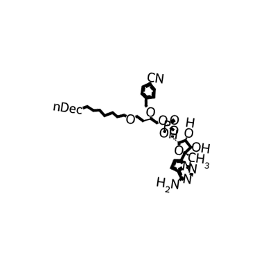 CCCCCCCCCCCCCCCCCOCC[C@H](COP(=O)(O)OC[C@H]1O[C@@](C)(c2ccc3c(N)ncnn23)[C@H](O)[C@@H]1O)OCc1ccc(C#N)cc1